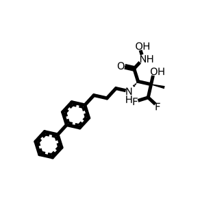 C[C@@](O)(C(F)F)[C@H](NCCCc1ccc(-c2ccccc2)cc1)C(=O)NO